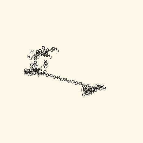 COCCOc1nc(N)c2nc(OC(=O)N(C)CCN(C)C(=O)OCc3ccc(NC(=O)[C@H](CCCNC(N)=O)NC(=O)[C@@H](NC(=O)[C@H](CCCCNC(=O)CCOCCOCCOCCOCCOCCOCCOCCOCCOCCOCCOCCOCCN(C[C@H](O)[C@@H](O)[C@H](O)[C@H](O)CO)C[C@H](O)[C@@H](O)[C@H](O)[C@H](O)CO)NC(=O)CCCCCN4C(=O)C=CC4=O)C(C)C)cc3)n(Cc3ccccc3)c2n1